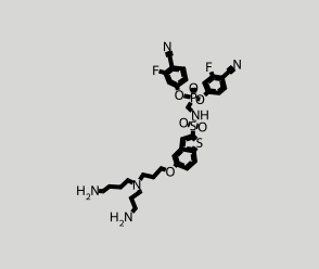 N#Cc1ccc(OP(=O)(CNS(=O)(=O)c2cc3cc(OCCCN(CCCN)CCCCN)ccc3s2)Oc2ccc(C#N)c(F)c2)cc1F